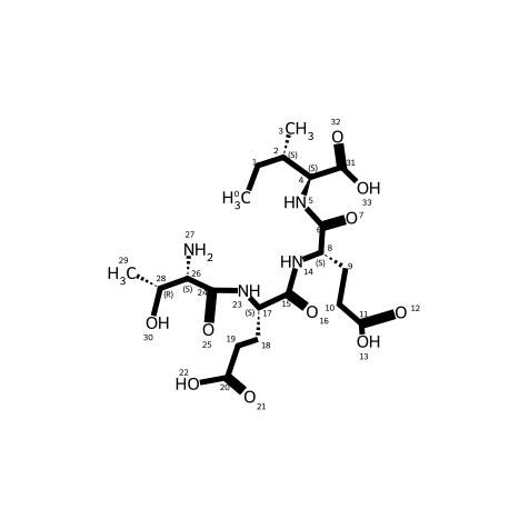 CC[C@H](C)[C@H](NC(=O)[C@H](CCC(=O)O)NC(=O)[C@H](CCC(=O)O)NC(=O)[C@@H](N)[C@@H](C)O)C(=O)O